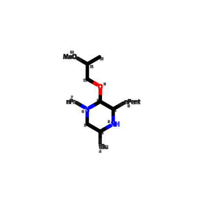 CCCCCC1NC(C(C)(C)C)CN(CCC)C1OCC(C)OC